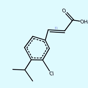 CC(C)c1ccc(/C=C/C(=O)O)cc1Cl